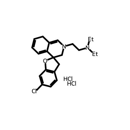 CCN(CC)CCN1C=C2CC=CC=C2C2(Cc3ccc(Cl)cc3O2)C1.Cl.Cl